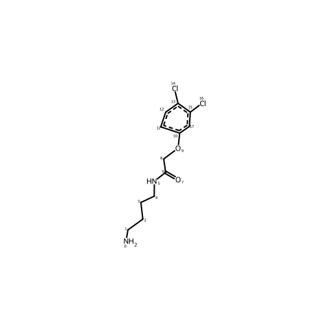 NCCCCNC(=O)COc1ccc(Cl)c(Cl)c1